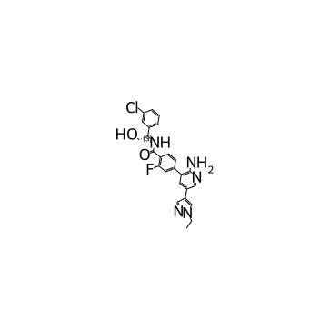 CCn1cc(-c2cnc(N)c(-c3ccc(C(=O)N[C@H](CO)c4cccc(Cl)c4)c(F)c3)c2)cn1